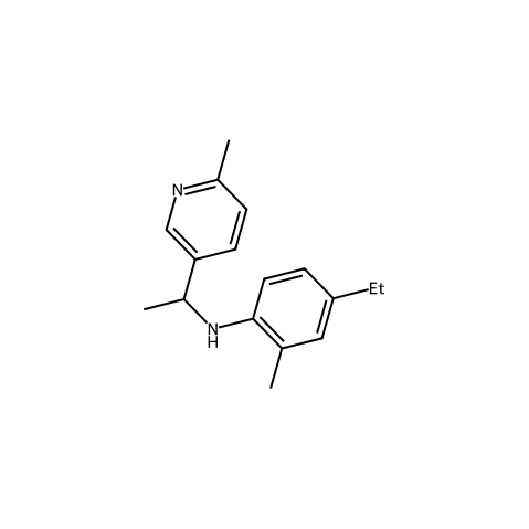 CCc1ccc(NC(C)c2ccc(C)nc2)c(C)c1